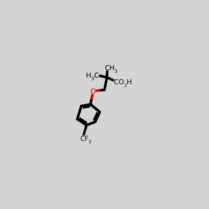 CC(C)(COc1ccc(C(F)(F)F)cc1)C(=O)O